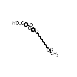 C=CC(=O)OCCCCCCCCCCCCOc1ccc(OC(=O)C2CCC(C(=O)O)CC2)cc1